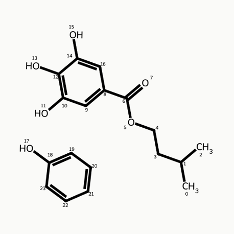 CC(C)CCOC(=O)c1cc(O)c(O)c(O)c1.Oc1ccccc1